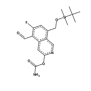 CC(C)(C)[Si](C)(C)OCc1cc(F)c(C=O)c2cc(OC(N)=O)ncc12